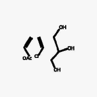 C=CCl.C=COC(C)=O.OCC(O)CO